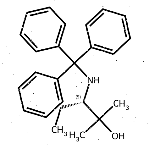 CC[C@H](NC(c1ccccc1)(c1ccccc1)c1ccccc1)C(C)(C)O